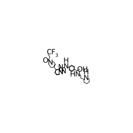 O=C(CCC(F)(F)F)N1CC=C(c2cccn3nc(Nc4ccc(C(O)NCCC5CCCCN5)cc4)nc23)CC1